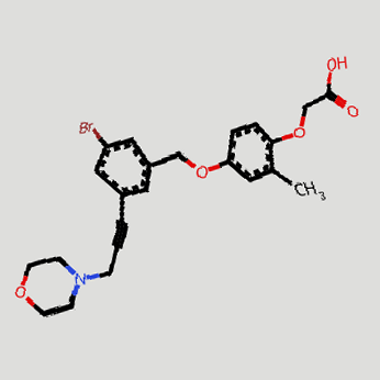 Cc1cc(OCc2cc(Br)cc(C#CCN3CCOCC3)c2)ccc1OCC(=O)O